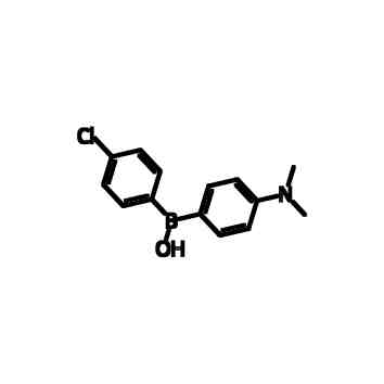 CN(C)c1ccc(B(O)c2ccc(Cl)cc2)cc1